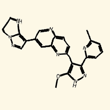 COc1[nH]nc(-c2cccc(C)n2)c1-c1ccc2ncc(-c3cnn4c3NCC4)cc2n1